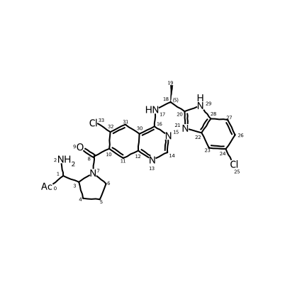 CC(=O)C(N)C1CCCN1C(=O)c1cc2ncnc(N[C@@H](C)c3nc4cc(Cl)ccc4[nH]3)c2cc1Cl